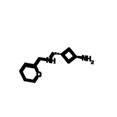 N[C@H]1C[C@H](CNCC2=CCCCO2)C1